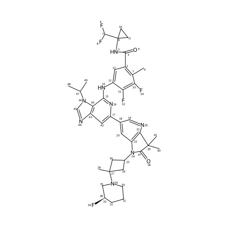 Cc1c(C(=O)NC2(C(F)F)CC2)cc(Nc2nc(-c3cnc4c(c3)N(C3CC(C)(N5CCC[C@@H](F)C5)C3)C(=O)C4(C)C)cc3ncn(C(C)C)c23)c(F)c1F